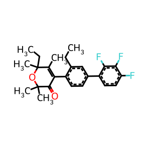 CCc1cc(-c2ccc(F)c(F)c2F)ccc1C1=C(C)C(C)(CC)OC(C)(C)C1=O